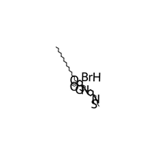 Br.CCCCCCCCCCCCCCOc1ccc(CN(C(C)=O)c2ccc(CN3C=C(C)SC3)cc2)cc1OC